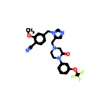 COc1cc(Cn2cncc2CN2CCN(c3cccc(OC(F)(F)F)c3)C(=O)C2)ccc1C#N